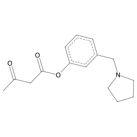 CC(=O)CC(=O)Oc1cccc(CN2CCCC2)c1